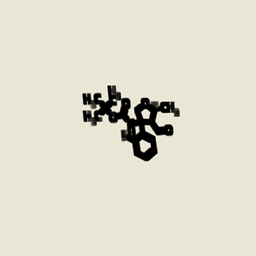 C[C@H]1OCC(NC(=O)OC(C)(C)C)(c2ccccc2F)C1C=O